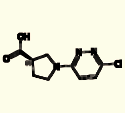 O=C(O)[C@@H]1CCN(c2ccc(Cl)nn2)C1